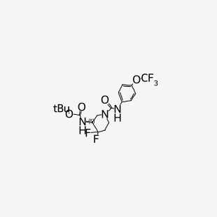 CC(C)(C)OC(=O)N[C@H]1CN(C(=O)Nc2ccc(OC(F)(F)F)cc2)CCC1(F)F